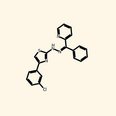 Clc1cccc(-c2csc(NN=C(c3ccccc3)c3ccccn3)n2)c1